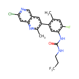 Cc1cc(F)c(NC(=O)NCCC(F)(F)F)cc1-c1cc2cnc(Cl)cc2nc1C